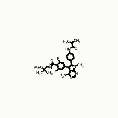 C=C(C)C(=O)Nc1ccc(-c2c(-c3cc(F)c(C(=O)NCC(C)(C)OC)c(F)c3)c3c(N)ncnc3n2C)cc1